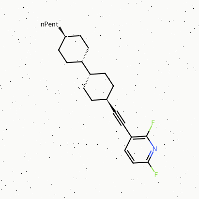 CCCCC[C@H]1CC[C@H]([C@H]2CC[C@H](C#Cc3ccc(F)nc3F)CC2)CC1